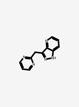 c1cnc(Cc2n[nH]c3cccnc23)nc1